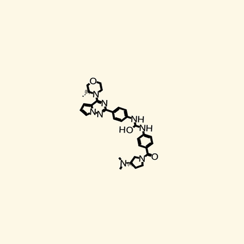 C[C@@H]1COCCN1c1nc(-c2ccc(NC(O)Nc3ccc(C(=O)N4CC[C@@H](N(C)C)C4)cc3)cc2)nn2cccc12